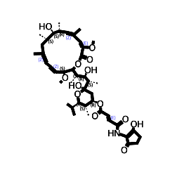 CO/C1=C/C(C)=C\[C@@H](C)[C@@H](O)[C@@H](C)C/C(C)=C\C=C/[C@H](OC)C([C@@H](C)[C@@H](O)[C@H](C)[C@@]2(O)C[C@@H](OC(=O)/C=C/C(=O)NC3=C(O)CCC3=O)[C@H](C)[C@@H](C(C)C)O2)OC1=O